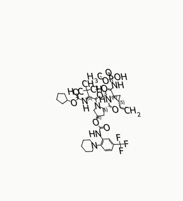 C=C[C@@H]1C[C@]1(NC(=O)[C@@H]1C[C@@H](OC(=O)Nc2cc(C(F)(F)F)ccc2N2CCCCC2)CN1C(=O)[C@@H](NC(=O)OC1CCCC1)C(C)(C)C)C(=O)NP(=O)(O)OC